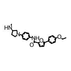 CCOc1ccc(-c2ccc(C(=O)Nc3ccc(N4CCC(NC)C4)cc3)o2)cc1